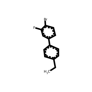 CCc1ccc(-c2ccc(Br)c(F)c2)cc1